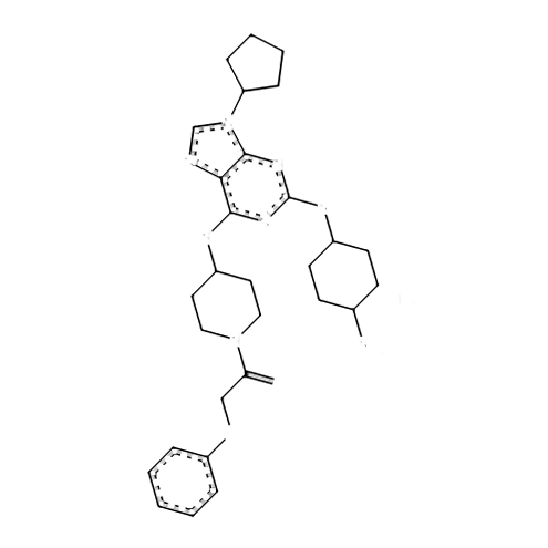 Cl.Cl.NC1CCC(Nc2nc(NC3CCN(C(=O)COc4ccccc4)CC3)c3ncn(C4CCCC4)c3n2)CC1